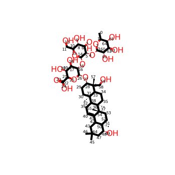 CC1O[C@@H](O[C@H]2C(O)[C@@H](O)C(CO)O[C@H]2O[C@H]2C(O)[C@H](O)C(C(=O)O)O[C@H]2O[C@H]2CC[C@@]3(C)C(CC[C@]4(C)C3CC=C3C5CC(C)(C)C[C@@H](O)[C@]5(C)CC[C@]34C)[C@@]2(C)CO)[C@@H](O)C(O)[C@H]1O